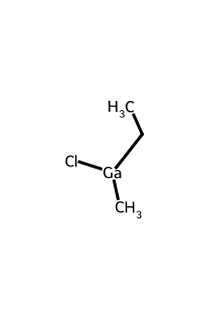 C[CH2][Ga]([CH3])[Cl]